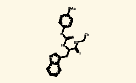 COc1ccc(NC(=S)NC(Cc2csc3ccccc23)C(=O)NCC#N)cc1